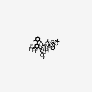 CCOC(=O)C[C@H](NC(=O)[C@H](CC(C)C)NC(=O)[C@H]1CCCN1C(=O)OC(C)(C)C)c1cc(-c2c(C)cccc2C)cc(C(F)(F)F)c1F